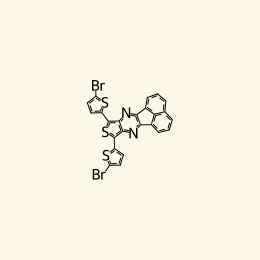 Brc1ccc(-c2sc(-c3ccc(Br)s3)c3nc4c(nc23)-c2cccc3cccc-4c23)s1